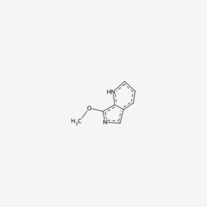 COc1ncc2ccc[nH]c1-2